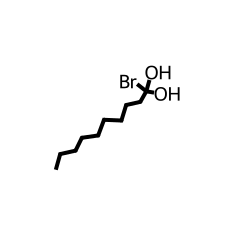 CCCCCCCCCC(O)(O)Br